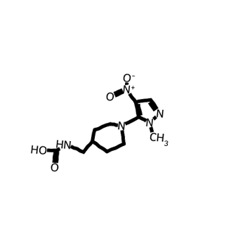 Cn1ncc([N+](=O)[O-])c1N1CCC(CNC(=O)O)CC1